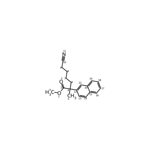 COC(=O)C(C)(CCCCC#N)c1ccc2ccccc2c1